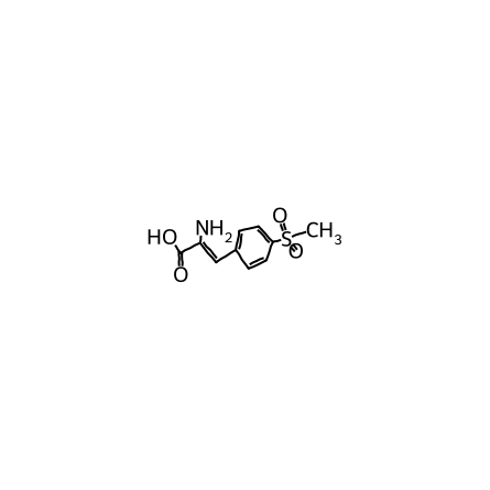 CS(=O)(=O)c1ccc(C=C(N)C(=O)O)cc1